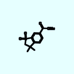 COC(=O)c1ccc2c(c1)S(=O)(=O)CC2(C)C